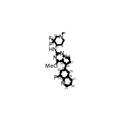 COc1nc(N[C@@H]2CCN(C)CC2(F)F)nn2ccc(-c3cc(F)c4ncccc4c3)c12